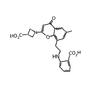 Cc1cc(CCNc2ccccc2C(=O)O)c2oc(N3CC(C(=O)O)C3)cc(=O)c2c1